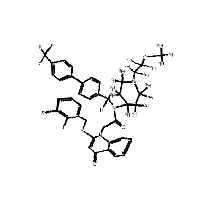 [2H]C([2H])([2H])OC([2H])([2H])C([2H])([2H])N1C([2H])([2H])C([2H])([2H])C([2H])(N(C(=O)Cn2c(SCc3cccc(F)c3F)cc(=O)c3ccccc32)C([2H])(C)c2ccc(-c3ccc(C(F)(F)F)cc3)cc2)C([2H])([2H])C1([2H])[2H]